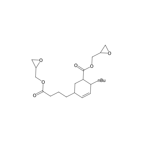 CCCCC1C=CC(CCCC(=O)OCC2CO2)CC1C(=O)OCC1CO1